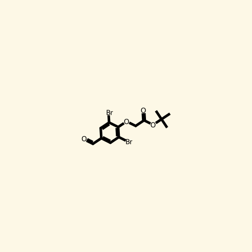 CC(C)(C)OC(=O)COc1c(Br)cc(C=O)cc1Br